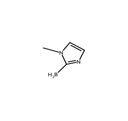 Bc1nccn1C